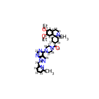 CCOc1cc2c(cc1OCC)[C@]1(CC[C@H](C(=O)N3CCN(c4ncnc5c4cnn5Cc4cccc(C)n4)CC3)CC1)N(C)CC2